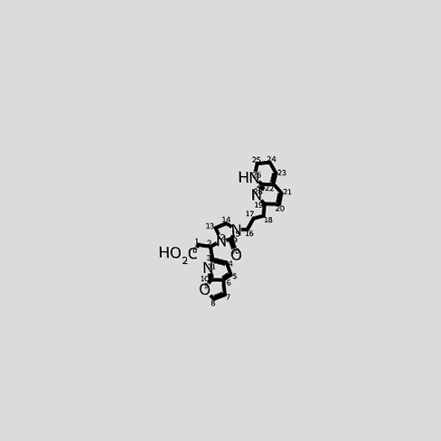 O=C(O)CC(c1ccc2ccoc2n1)N1CCN(CCCC2C=CC3=CCCNC3=N2)C1=O